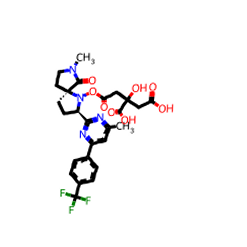 Cc1cc(-c2ccc(C(F)(F)F)cc2)nc([C@H]2CC[C@@]3(CCN(C)C3=O)N2OC(=O)CC(O)(CC(=O)O)C(=O)O)n1